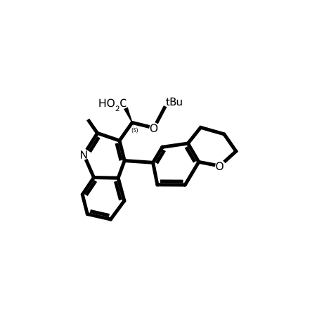 Cc1nc2ccccc2c(-c2ccc3c(c2)CCCO3)c1[C@H](OC(C)(C)C)C(=O)O